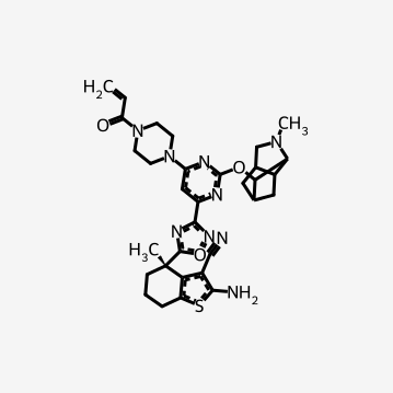 C=CC(=O)N1CCN(c2cc(-c3noc([C@@]4(C)CCCc5sc(N)c(C#N)c54)n3)nc(OC3C4CC5CN(C)C3C5C4)n2)CC1